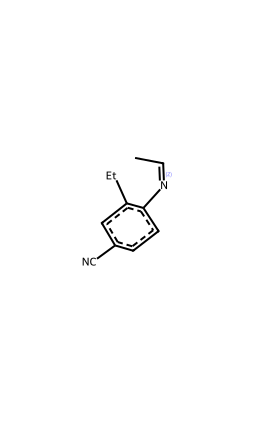 C/C=N\c1ccc(C#N)cc1CC